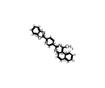 Cc1nc(-c2ccc(-c3nc4ccccc4o3)nc2)nc2ccc3ccccc3c12